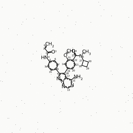 C=CC(=O)Nc1ccc(-c2nn3ncnc(N)c3c2-c2ccc(C(=O)N(C)C3CCC3)c(OC)c2)cc1